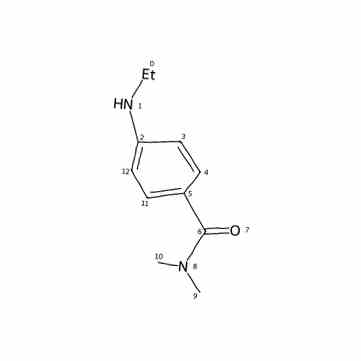 CCNc1ccc(C(=O)N(C)C)cc1